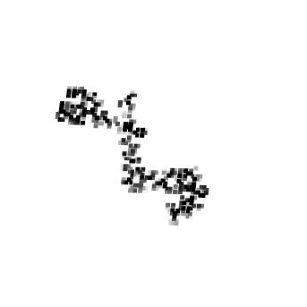 CC(C)CCCN(CCNCCc1ccc(O)c2c1OCC(=O)N2)C(=O)CCOCCc1cccc(CCN2CCC3(CC2)CN(C(=O)c2csc(C(C)C)n2)CCO3)c1